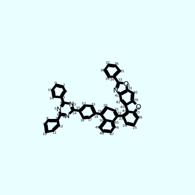 c1ccc(-c2nc(-c3ccccc3)nc(-c3ccc(-c4ccc(-c5cccc6oc7cc8oc(-c9ccccc9)nc8cc7c56)c5ccccc45)cc3)n2)cc1